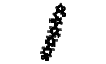 O=C1OCCN1CN1C=CN(c2ccc(-c3cnc(N4CCS(=O)(=O)CC4)nc3)c(F)c2)N1